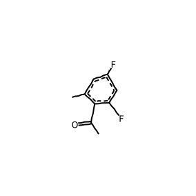 CC(=O)c1c(C)cc(F)cc1F